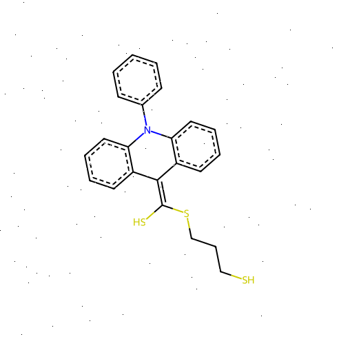 SCCCSC(S)=C1c2ccccc2N(c2ccccc2)c2ccccc21